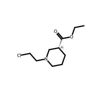 CCOC(=O)[C@@H]1CCCN(CCCl)C1